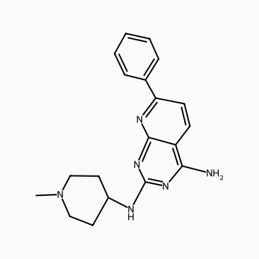 CN1CCC(Nc2nc(N)c3ccc(-c4ccccc4)nc3n2)CC1